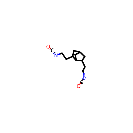 O=C=NCCC1CC2CC(CCN=C=O)C1C2